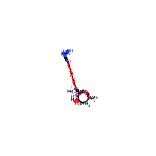 CO[C@H]1C[C@@H]2CCC[C@@](O)(O2)C(=O)C(=O)N2CCCC[C@H]2C(=O)O[C@H]([C@H](N)C[C@@H]2CC[C@@H](OC(=O)NCCOCCOCCOCCOCCOCCOCCOCCOCCC(=O)N3CCc4cc(Cn5nc(-c6cnc7[nH]ccc7c6)c6c(N)ncnc65)ccc4C3)[C@H](OC)C2)C[C@@H](O)[C@H](C)/C=C(\C)[C@@H](O)[C@@H](O)C(=O)[C@H](C)C[C@H](C)/C=C/C=C/C=C/1C